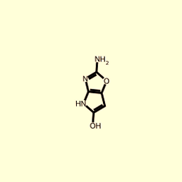 Nc1nc2[nH]c(O)cc2o1